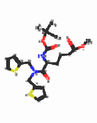 COC(=O)CCC[C@H](NC(=O)OC(C)(C)C)C(=O)N(Cc1cccs1)Cc1cccs1